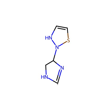 [C]1=NC(N2NC=CS2)CN1